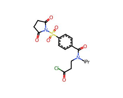 CC(C)N(CCC(=O)Cl)C(=O)c1ccc(S(=O)(=O)N2C(=O)CCC2=O)cc1